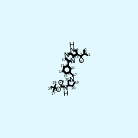 C=C(C)C(=O)c1c[nH]c2ncc(-c3cccc(CN4CCC(NC(=O)OC(C)(C)C)C4)c3)nc12